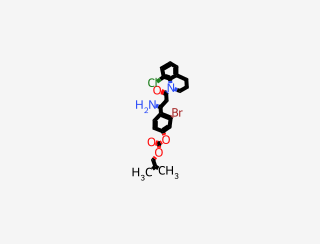 CC(C)COC(=O)Oc1ccc(C(N)CC(=O)N2CCCc3cccc(Cl)c32)c(Br)c1